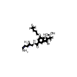 N/C=C\C=C(/N)CNC(=O)c1cc(OCCCC(F)(F)F)c2sc(C(F)(F)P(O)O)c(Br)c2c1